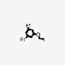 CCc1cc(CC)cc(OCI)c1